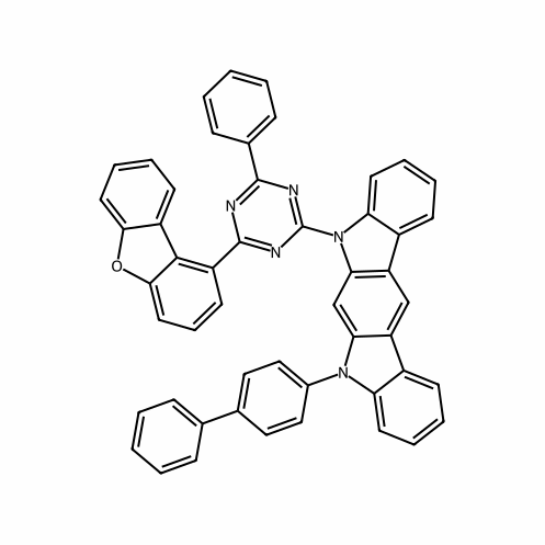 c1ccc(-c2ccc(-n3c4ccccc4c4cc5c6ccccc6n(-c6nc(-c7ccccc7)nc(-c7cccc8oc9ccccc9c78)n6)c5cc43)cc2)cc1